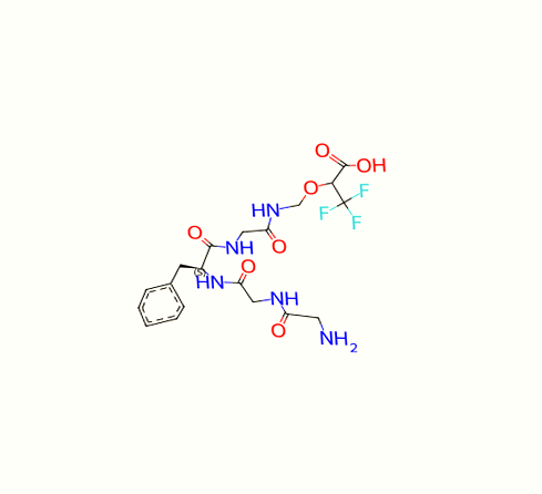 NCC(=O)NCC(=O)N[C@@H](Cc1ccccc1)C(=O)NCC(=O)NCOC(C(=O)O)C(F)(F)F